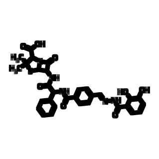 CC1(C)SC2C(NC(=O)C(NC(=O)c3ccc(/C=N/NC(=O)c4cccc(O)c4O)cc3)c3ccccc3)C(=O)N2C1C(=O)O